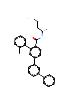 CSCC[C@H](NC(=O)c1ccc(-c2cccc(-c3ccccc3)c2)cc1-c1ccccc1C)C(=O)O.[LiH]